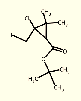 CC(C)(C)OC(=O)C1C(C)(C)C1(Cl)CI